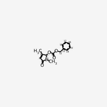 CC1=CC(=O)N(C)C1OC(=O)OCc1ccccc1